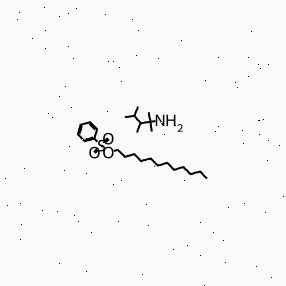 CC(C)C(C)C(C)(C)N.CCCCCCCCCCCCOS(=O)(=O)c1ccccc1